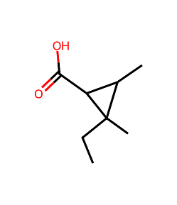 CCC1(C)C(C)C1C(=O)O